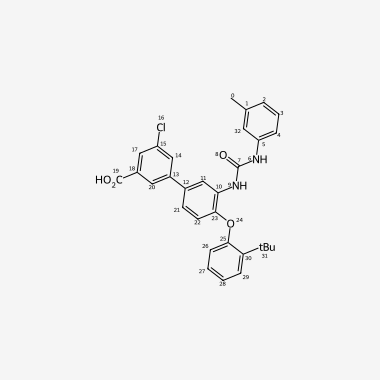 Cc1cccc(NC(=O)Nc2cc(-c3cc(Cl)cc(C(=O)O)c3)ccc2Oc2ccccc2C(C)(C)C)c1